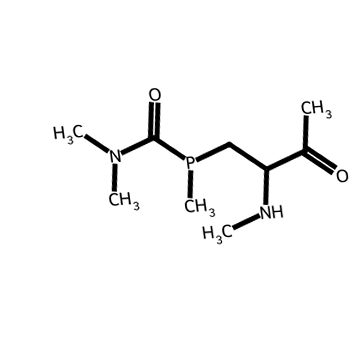 CNC(CP(C)C(=O)N(C)C)C(C)=O